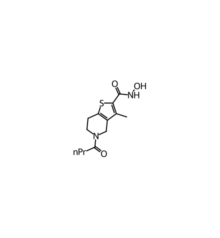 CCCC(=O)N1CCc2sc(C(=O)NO)c(C)c2C1